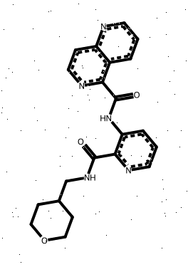 O=C(NCC1CCOCC1)c1ncccc1NC(=O)c1nccc2ncccc12